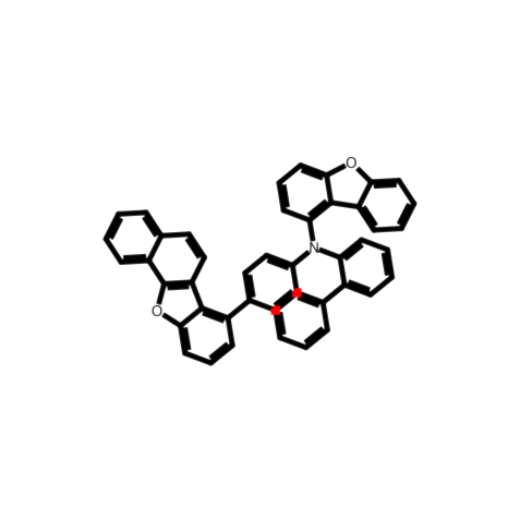 c1ccc(-c2ccccc2N(c2ccc(-c3cccc4oc5c6ccccc6ccc5c34)cc2)c2cccc3oc4ccccc4c23)cc1